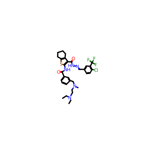 CCN(CC)CCN(C)Cc1cccc(C(=O)Nc2sc3c(c2C(=O)N/N=C/c2ccc(Cl)c(C(F)(F)F)c2)CCCC3)c1